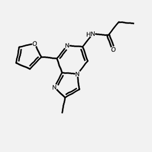 CCC(=O)Nc1cn2cc(C)nc2c(-c2ccco2)n1